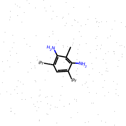 Cc1c(N)c(C(C)C)cc(C(C)C)c1N